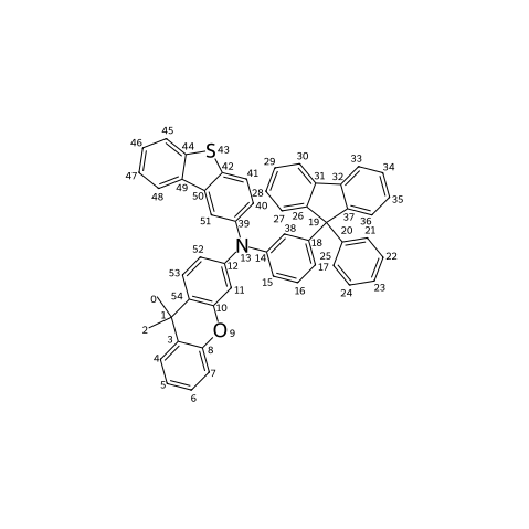 CC1(C)c2ccccc2Oc2cc(N(c3cccc(C4(c5ccccc5)c5ccccc5-c5ccccc54)c3)c3ccc4sc5ccccc5c4c3)ccc21